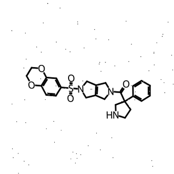 O=C(N1CC2=C(C1)CN(S(=O)(=O)c1ccc3c(c1)OCCO3)C2)C1(c2ccccc2)CCNC1